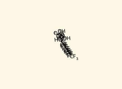 O=C1O[C@H]2[C@H](O[C@@H](O)[C@@]2(O)CCC(F)(F)C(F)(F)C(F)(F)C(F)(F)C(F)(F)C(F)(F)C(F)(F)C(F)(F)F)[C@@H]1O